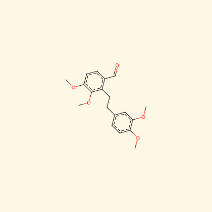 COc1ccc(CCc2c(C=O)ccc(OC)c2OC)cc1OC